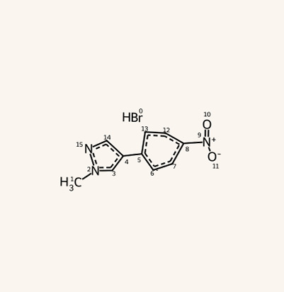 Br.Cn1cc(-c2[c]cc([N+](=O)[O-])cc2)cn1